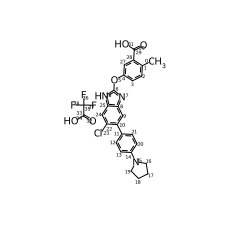 Cc1ccc(Oc2nc3cc(-c4ccc(N5CCCC5)cc4)c(Cl)cc3[nH]2)cc1C(=O)O.O=C(O)C(F)(F)F